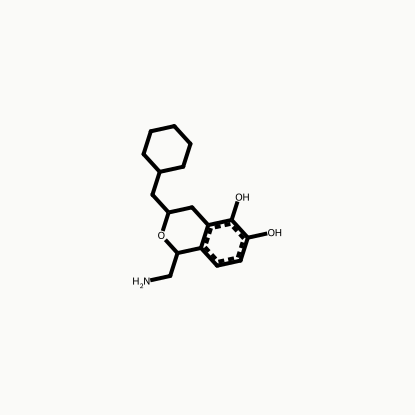 NCC1OC(CC2CCCCC2)Cc2c1ccc(O)c2O